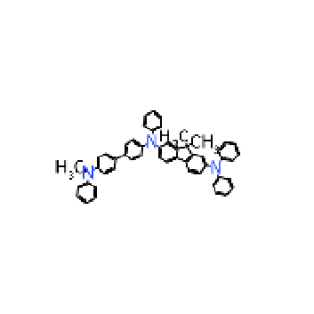 CN(c1ccccc1)c1ccc(-c2ccc(N(c3ccccc3)c3ccc4c(c3)C(C)(C)c3cc(N(c5ccccc5)c5ccccc5)ccc3-4)cc2)cc1